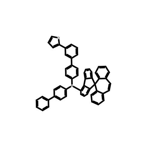 C1=Cc2ccccc2C2(c3ccccc31)c1ccccc1-c1c(N(c3ccc(-c4ccccc4)cc3)c3ccc(-c4cccc(-c5ccco5)c4)cc3)cccc12